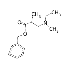 CCN(C)CC(C)C(=O)OCc1ccccc1